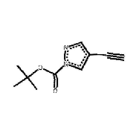 C#Cc1cnn(C(=O)OC(C)(C)C)c1